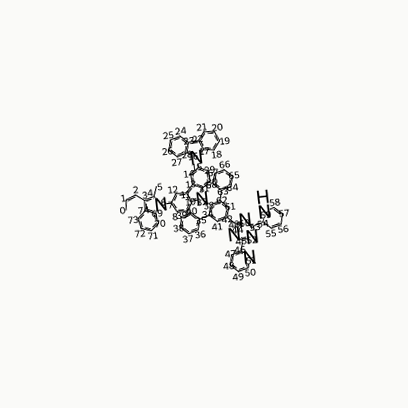 C/C=C\c1c(C)n(-c2ccc3c(c2)c2cc(-n4c5ccccc5c5ccccc54)ccc2n3-c2c(-c3ccccc3)cc(-c3nc(-c4ccccn4)nc(C4C=CC=CN4)n3)cc2-c2ccccc2)c2ccccc12